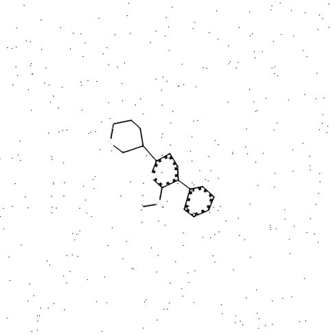 CN(C)c1nc(C2CCCNC2)ccc1-c1ccccc1